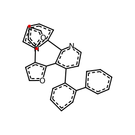 c1ccc(-c2ccccc2-c2ccnc(-c3ccccn3)c2-c2occc2-c2ccco2)cc1